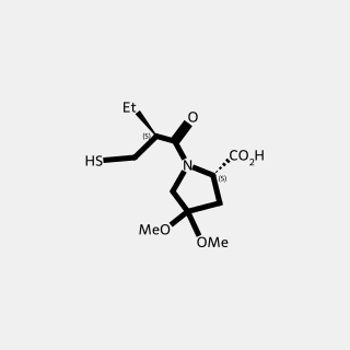 CC[C@H](CS)C(=O)N1CC(OC)(OC)C[C@H]1C(=O)O